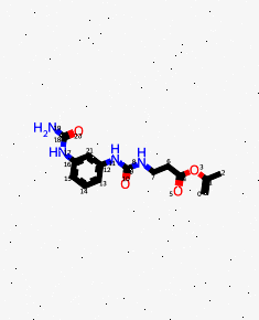 C=C(C)OC(=O)CCNC(=O)Nc1cccc(NC(N)=O)c1